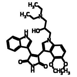 CCN(CC)CC(O)Cn1cc(C2=C(c3c[nH]c4ccccc34)C(=O)NC2=O)c2c(OC)c(OC)ccc21